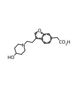 O=C(O)Cc1ccc2c(CCN3CCC(O)CC3)coc2c1